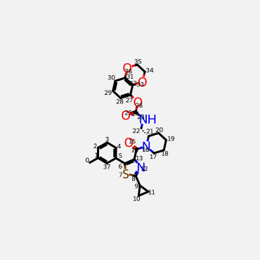 Cc1cccc(-c2sc(C3CC3)nc2C(=O)N2CCCC[C@H]2CNC(=O)Oc2cccc3c2OCCO3)c1